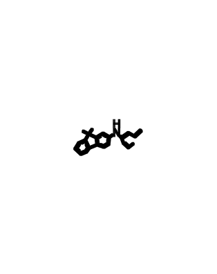 C=C/C=C(\C=C/C)Nc1ccc2c(c1)C(C)(C)c1ccccc1-2